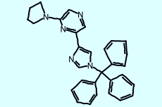 c1ccc(C(c2ccccc2)(c2ccccc2)n2cnc(-c3cncc(N4CCCC4)n3)c2)cc1